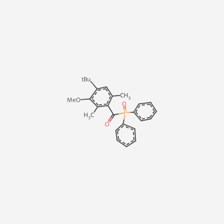 COc1c(C(C)(C)C)cc(C)c(C(=O)P(=O)(c2ccccc2)c2ccccc2)c1C